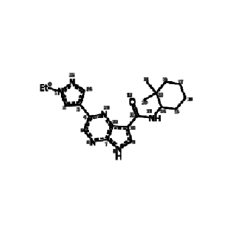 CCn1cc(-c2cnc3[nH]cc(C(=O)NC4CCCCC4(C)C)c3n2)cn1